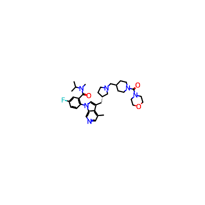 Cc1cncc2c1c(C[C@@H]1CCN(CC3CCN(C(=O)N4CCOCC4)CC3)C1)cn2-c1ccc(F)cc1C(=O)N(C)C(C)C